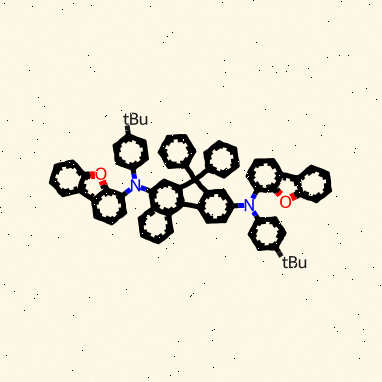 CC(C)(C)c1ccc(N(c2ccc3c(c2)C(c2ccccc2)(c2ccccc2)c2cc(N(c4ccc(C(C)(C)C)cc4)c4cccc5c4oc4ccccc45)c4ccccc4c2-3)c2cccc3c2oc2ccccc23)cc1